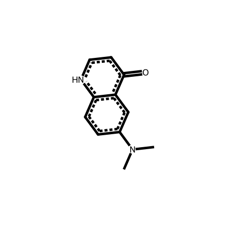 CN(C)c1ccc2[nH]ccc(=O)c2c1